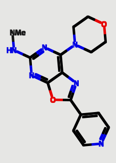 CNNc1nc(N2CCOCC2)c2nc(-c3ccncc3)oc2n1